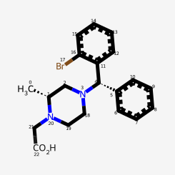 C[C@@H]1CN([C@@H](c2ccccc2)c2ccccc2Br)CCN1CC(=O)O